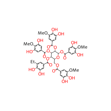 CCc1cc(C(=O)OC2C(COC(=O)c3cc(O)c(O)c(OC)c3)OC(OC(=O)c3cc(O)c(OC)c(O)c3)C(OC(=O)c3cc(O)c(O)c(OC)c3)C2OC(=O)c2cc(O)c(OC)c(O)c2)cc(O)c1O